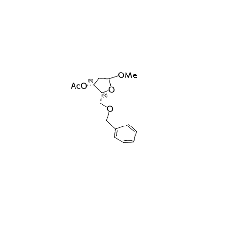 COC1C[C@@H](OC(C)=O)[C@@H](COCc2ccccc2)O1